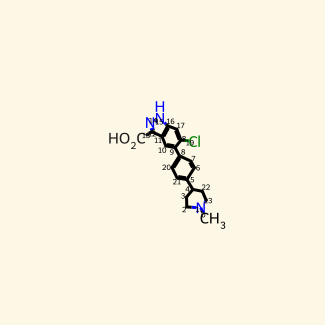 CN1CCC(c2ccc(-c3cc4c(C(=O)O)n[nH]c4cc3Cl)cc2)CC1